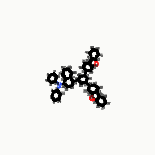 c1ccc(N(c2ccccc2)c2ccc(-c3cc(-c4ccc5c(c4)oc4ccccc45)cc(-c4ccc5c(c4)oc4ccccc45)c3)c3ccccc23)cc1